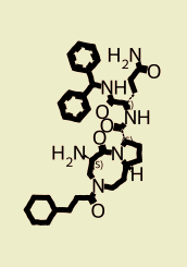 NC(=O)CC[C@H](NC(=O)[C@@H]1CC[C@@H]2CCN(C(=O)CCC3CCCCC3)C[C@H](N)C(=O)N21)C(=O)NC(c1ccccc1)c1ccccc1